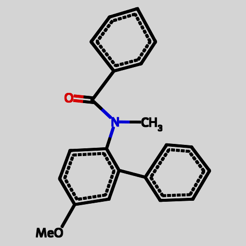 COc1ccc(N(C)C(=O)c2ccccc2)c(-c2ccccc2)c1